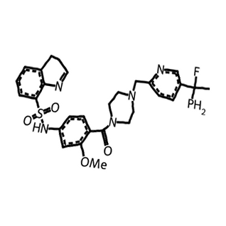 COc1cc(NS(=O)(=O)c2cccc3c2N=CCC3)ccc1C(=O)N1CCN(Cc2ccc(C(C)(F)P)cn2)CC1